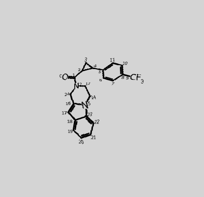 O=C(C1CC1c1ccc(C(F)(F)F)cc1)N1CCn2c(cc3ccccc32)C1